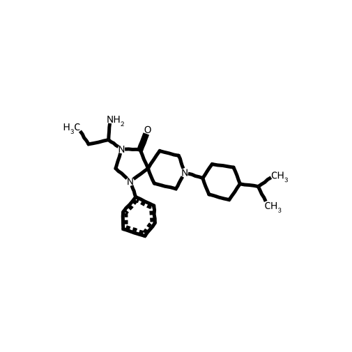 CCC(N)N1CN(c2ccccc2)C2(CCN(C3CCC(C(C)C)CC3)CC2)C1=O